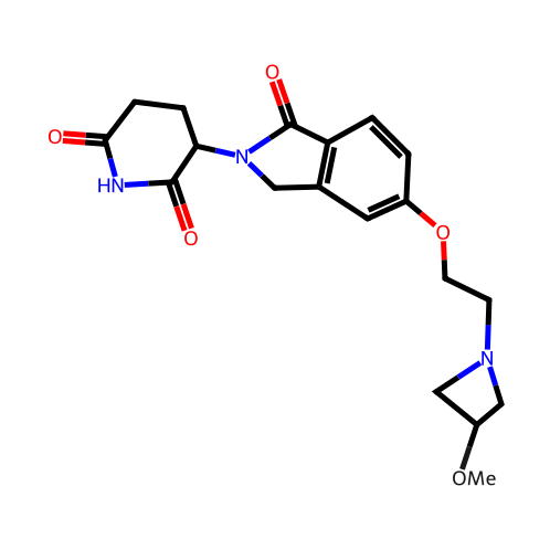 COC1CN(CCOc2ccc3c(c2)CN(C2CCC(=O)NC2=O)C3=O)C1